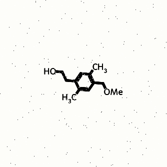 COCc1cc(C)c(CCO)cc1C